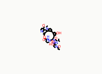 C=CC(=O)N1CC[C@](O)(C(=O)N(C)[C@H](C(=O)N[C@H]2Cc3cc(O)cc(c3)-c3ccc4c(c3)c(c(-c3cnccc3COC)n4CC)CC(C)(C)COC(=O)[C@@H]3CCCN(N3)C2=O)C(C)C)C1